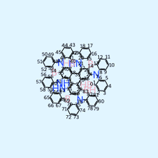 B1c2ccccc2N2c3ccccc3B3c4ccccc4Nc4c3c2c1c1c2c3c5c6c(c2c2c7c8c9c(c2c41)Bc1ccccc1N9c1ccccc1B8c1ccccc1N7)Nc1ccccc1B6c1ccccc1N5c1ccccc1B3